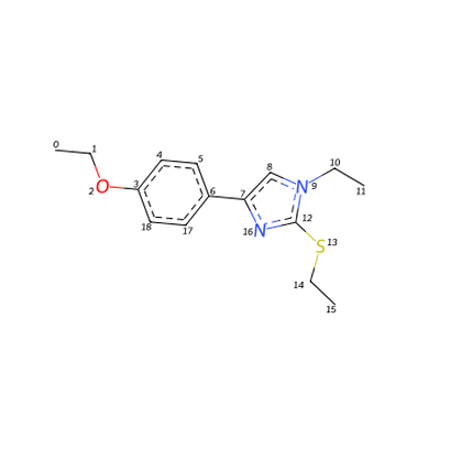 CCOc1ccc(-c2cn(CC)c(SCC)n2)cc1